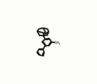 Cc1cc(-c2ccccc2)cc(C23CC4CC(CC(C4)C2)C3)c1